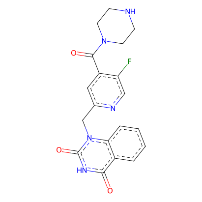 O=C(c1cc(Cn2c(=O)[nH]c(=O)c3ccccc32)ncc1F)N1CCNCC1